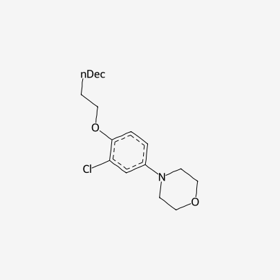 CCCCCCCCCCCCOc1ccc(N2CCOCC2)cc1Cl